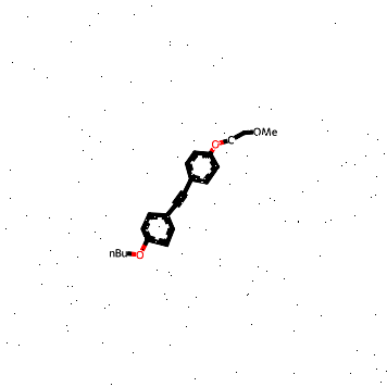 CCCCOc1ccc(C#Cc2ccc(OCCOC)cc2)cc1